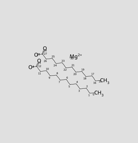 CCCCCCCCCCCCC(=O)[O-].CCCCCCCCCCCCC(=O)[O-].[Mg+2]